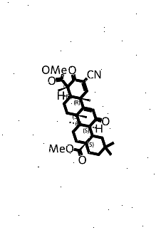 COC(=O)[C@]12CCC(C)(C)CC1[C@@H]1C(=O)C=C3[C@@]4(C)C=C(C#N)C(=O)[C@@](C)(C(=O)OC)[C@@H]4CC[C@@]3(C)[C@]1(C)CC2